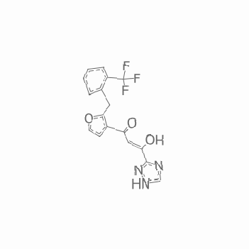 O=C(C=C(O)c1nc[nH]n1)c1ccoc1Cc1ccccc1C(F)(F)F